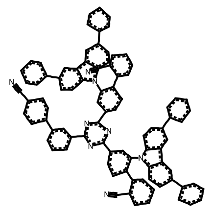 N#Cc1ccc(-c2cccc(-c3nc(-c4ccc(-c5ccccc5C#N)c(-n5c6ccc(-c7ccccc7)cc6c6cc(-c7ccccc7)ccc65)c4)nc(-c4ccc(-c5ccccc5C#N)c(-n5c6ccc(-c7ccccc7)cc6c6cc(-c7ccccc7)ccc65)c4)n3)c2)cc1